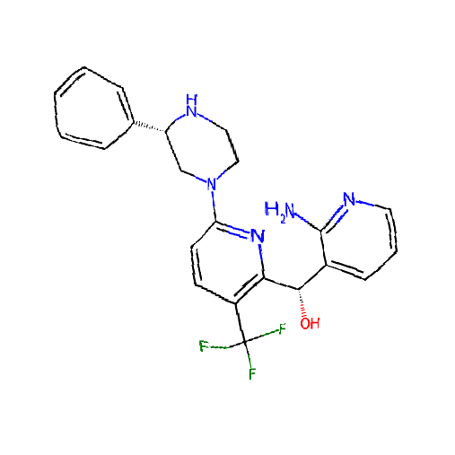 Nc1ncccc1[C@H](O)c1nc(N2CCN[C@@H](c3ccccc3)C2)ccc1C(F)(F)F